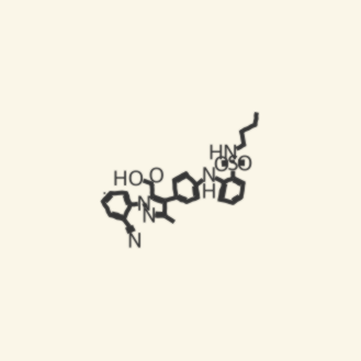 CCCCNS(=O)(=O)c1ccccc1Nc1ccc(-c2c(C)nn(-c3c[c]ccc3C#N)c2C(=O)O)cc1